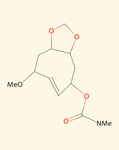 CNC(=O)OC1/C=C/C(OC)CC2OCOC2C1